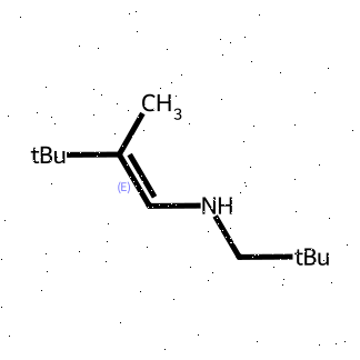 C/C(=C\NCC(C)(C)C)C(C)(C)C